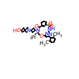 Cc1cccc(C)c1-c1cc2nc(n1)NS(=O)(=O)c1cccc(c1)C(=O)N([C@H]1C[C@@H](N3CC4(CC(O)C4)C3)C1)[C@H](CC(C)C)CO2